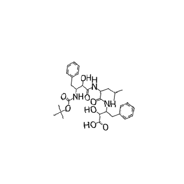 CC(C)CC(NC(=O)C(O)C(Cc1ccccc1)NC(=O)OC(C)(C)C)C(=O)NC(Cc1ccccc1)C(O)C(=O)O